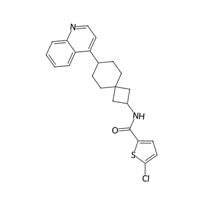 O=C(NC1CC2(CCC(c3ccnc4ccccc34)CC2)C1)c1ccc(Cl)s1